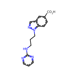 O=C(O)c1ccc2c(cnn2CCCNc2ncccn2)c1